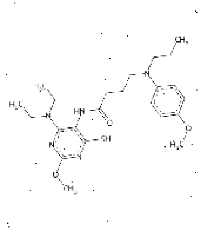 CCCN(CCCC(=O)Nc1c(S)nc(OC)nc1N(CC)CC)c1ccc(OC)cc1